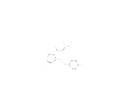 COc1cnc(CN2CC(=C3CCCC3)C(=O)c3c(Cl)nc(N)nc32)cc1OC